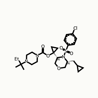 CCC(C)(C)N1CCN(C(=O)OC2([C@H]3COC[C@@H](CC4CC4)N3S(=O)(=O)c3ccc(Cl)cc3)CC2)CC1